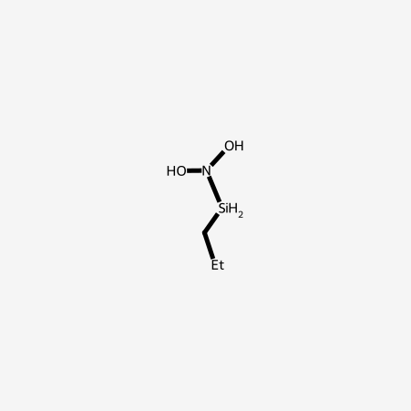 CCC[SiH2]N(O)O